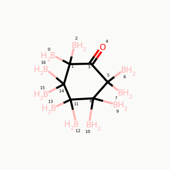 BC1(B)C(=O)C(B)(B)C(B)(B)C(B)(B)C1(B)B